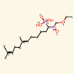 CCOC[PH](=O)C(CCCC/C=C(\C)CCC=C(C)C)P(=O)(O)O